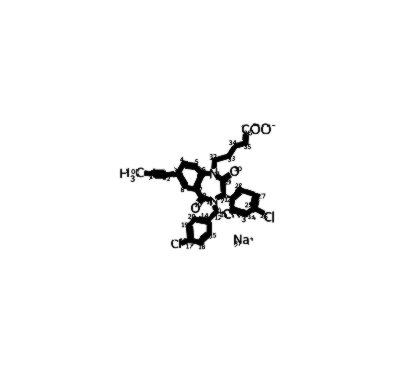 CC#Cc1ccc2c(c1)C(=O)N([C@H](C)c1ccc(Cl)cc1)[C@@H](c1ccc(Cl)cc1)C(=O)N2CCCCC(=O)[O-].[Na+]